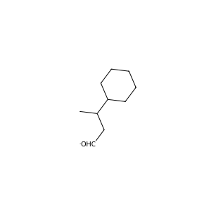 CC(C[C]=O)C1CCCCC1